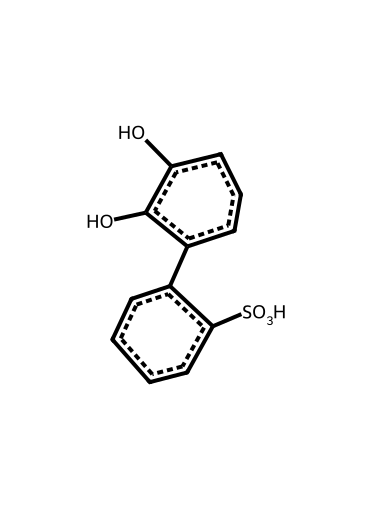 O=S(=O)(O)c1ccccc1-c1cccc(O)c1O